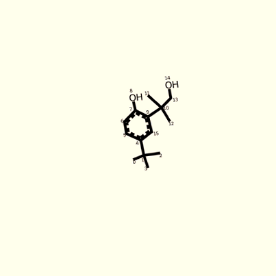 CC(C)(C)c1ccc(O)c(C(C)(C)CO)c1